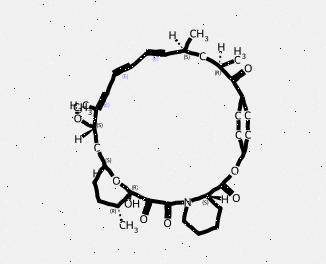 CO[C@H]1C[C@@H]2CC[C@@H](C)[C@@](O)(O2)C(=O)C(=O)N2CCCC[C@H]2C(=O)OC2CCC(CC2)C(=O)[C@H](C)C[C@H](C)/C=C/C=C/C=C/1C